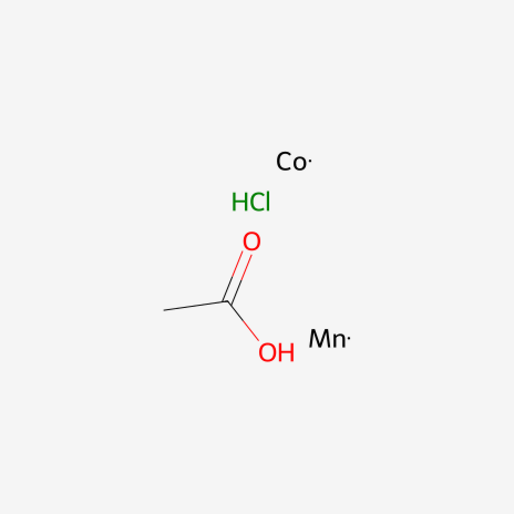 CC(=O)O.Cl.[Co].[Mn]